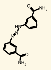 NC(=O)c1cccc(N=NNc2cccc(C(N)=O)c2)c1